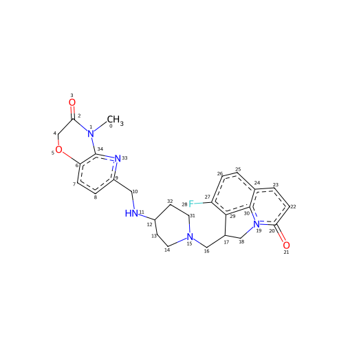 CN1C(=O)COc2ccc(CNC3CCN(CC4Cn5c(=O)ccc6ccc(F)c4c65)CC3)nc21